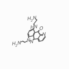 NCCNc1ccc2c3c(nn2CCN)-c2cccnc2C(=O)c13